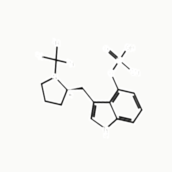 [2H]C([2H])([2H])N1CCC[C@@H]1Cc1c[nH]c2cccc(OP(=O)(O)O)c12